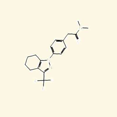 CN(C)C(=O)Cc1ccc(-n2nc(C(F)(F)F)c3c2CCCC3)cc1